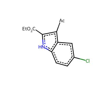 CCOC(=O)c1[nH]c2ccc(Cl)cc2c1C(C)=O